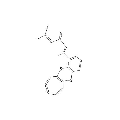 C=C(C=C(C)C)/C=C(\C)c1cccc2c1SC1=C(C=CC=C=C1)S2